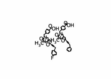 CN1C(=O)N(Cc2ccc(C(=O)O)cc2)Cc2cc(C#CCc3ccccc3)oc21.CN1C(=O)N(Cc2ccc(C(=O)O)cc2)Cc2nc(C#CCc3ccc(F)cc3)oc21